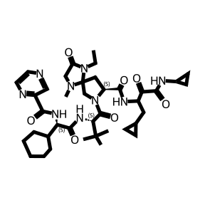 CCN1C(=O)CN(C)C12C[C@@H](C(=O)NC(CC1CC1)C(=O)C(=O)NC1CC1)N(C(=O)[C@@H](NC(=O)[C@@H](NC(=O)c1cnccn1)C1CCCCC1)C(C)(C)C)C2